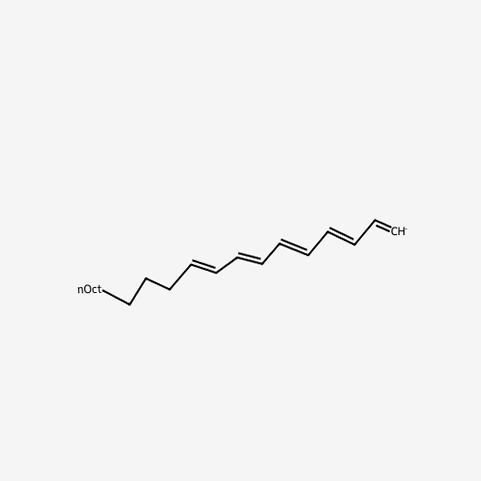 [CH]=C/C=C/C=C/C=C/C=C/CCCCCCCCCCC